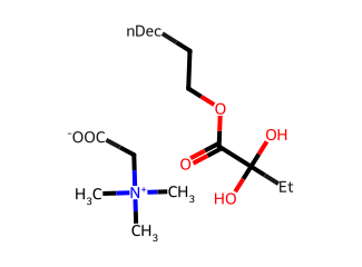 CCCCCCCCCCCCOC(=O)C(O)(O)CC.C[N+](C)(C)CC(=O)[O-]